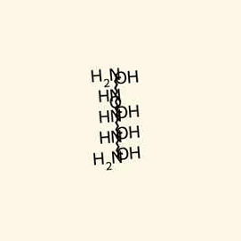 NC(O)CCCCNCOCCC(O)NCCCCC(O)NCCCCC(N)O